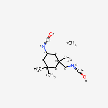 C.CC1(C)CC(N=C=O)CC(C)(CN=C=O)C1